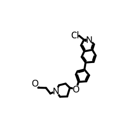 O=CCCN1CCC(Oc2ccc(-c3ccc4cnc(Cl)cc4c3)cc2)CC1